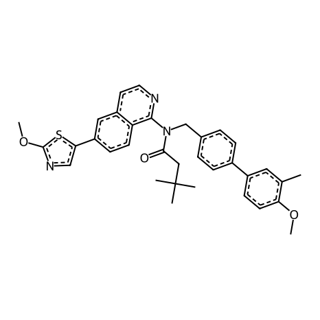 COc1ncc(-c2ccc3c(N(Cc4ccc(-c5ccc(OC)c(C)c5)cc4)C(=O)CC(C)(C)C)nccc3c2)s1